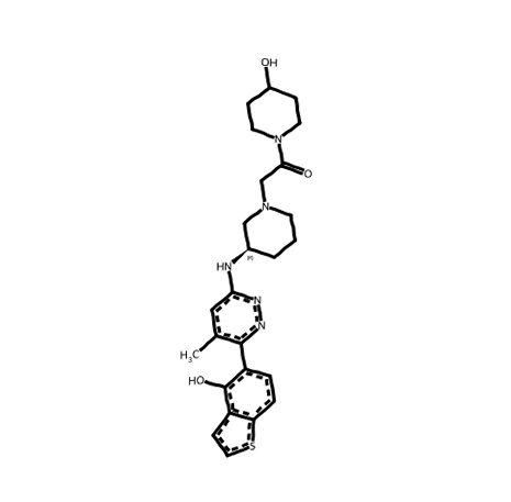 Cc1cc(N[C@@H]2CCCN(CC(=O)N3CCC(O)CC3)C2)nnc1-c1ccc2sccc2c1O